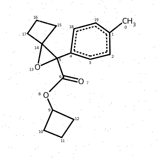 Cc1ccc(C2(C(=O)OC3CCC3)OC23CCC3)cc1